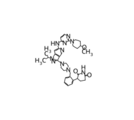 COC1CCN(c2nccc(Nc3cc4c(cn3)c(N3CCN(Cc5ccccc5C5CCC(=O)NC5=O)CC3)nn4C(C)C)n2)CC1